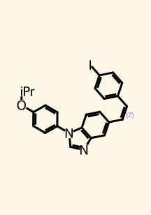 CC(C)Oc1ccc(-n2cnc3cc(/C=C\c4ccc(I)cc4)ccc32)cc1